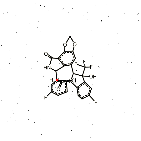 NC(=O)N1c2ccc(F)cc2C(O)(C(F)(F)F)C1c1cc2c(c3c1C(c1cc(F)ccc1Cl)NC3=O)OCO2